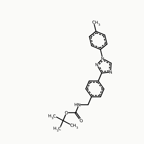 Cc1ccc(-n2cnc(-c3ccc(CNC(=O)OC(C)(C)C)cc3)n2)cc1